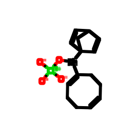 [O-][Cl+3]([O-])([O-])[O][Rh]([C]1=CCCC=CCC1)[C]12C=CC(C=C1)C2